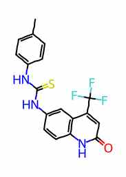 Cc1ccc(NC(=S)Nc2ccc3[nH]c(=O)cc(C(F)(F)F)c3c2)cc1